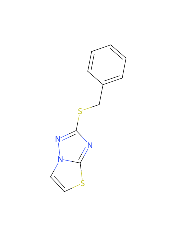 c1ccc(CSc2nc3sccn3n2)cc1